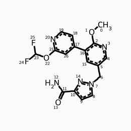 COc1ncc(Cn2ccc(C(N)=O)n2)cc1-c1ccnc(OC(F)F)c1